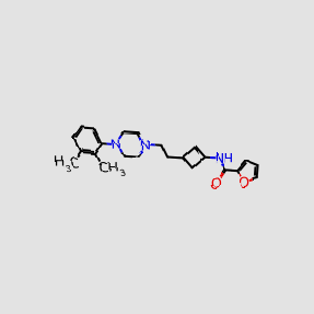 Cc1cccc(N2CCN(CCC3CC(NC(=O)c4ccco4)C3)CC2)c1C